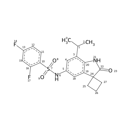 CC(C)c1cc(NS(=O)(=O)c2ccc(F)cc2F)cc2c1NC(=O)C21CCC1